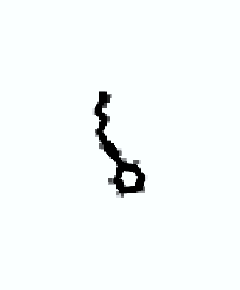 BrCCCC#Cc1ccccc1